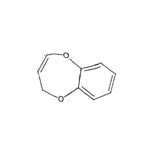 [C]1=CCOc2ccccc2O1